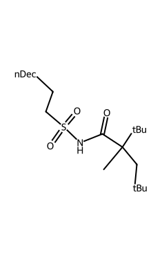 CCCCCCCCCCCCS(=O)(=O)NC(=O)C(C)(CC(C)(C)C)C(C)(C)C